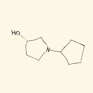 O[C@H]1CCN(C2CCCC2)C1